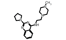 CN1CCN(CCNc2nc(N3CCCC3)nc3ccccc23)CC1